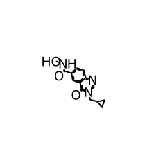 O=C(NO)c1ccc2ncn(CC3CC3)c(=O)c2c1